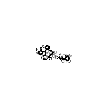 COC[C@](C=O)(OC(=O)OCOc1c2n(ccc1=O)N([C@@H]1c3ccccc3SCc3c1ccc(F)c3F)[C@@H]1COCCN1C2=O)c1ccccc1